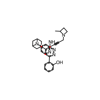 CC1CCN1CC#Cc1cc(N2C3CC2CN(c2cc(-c4ccccc4O)nnc2N)C3)ccn1